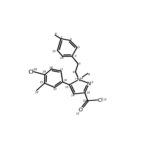 Cc1ccc(CC[N+]2(C)N=C(C(=O)Cl)C=C2c2ccc(Cl)c(C)c2)cc1